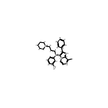 Cc1nccn2c(N(CCCN3CCCCC3)c3cccc(Cl)c3)c(-c3ccccc3)nc12